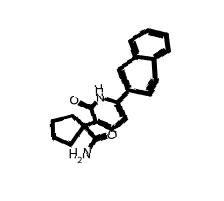 NC(=O)C1(c2ccc(-c3ccc4ccccc4c3)[nH]c2=O)CCCC1